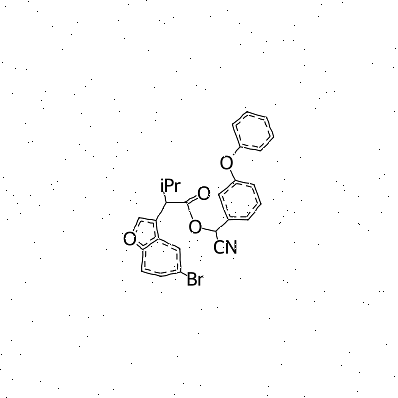 CC(C)C(C(=O)OC(C#N)c1cccc(Oc2ccccc2)c1)c1coc2ccc(Br)cc12